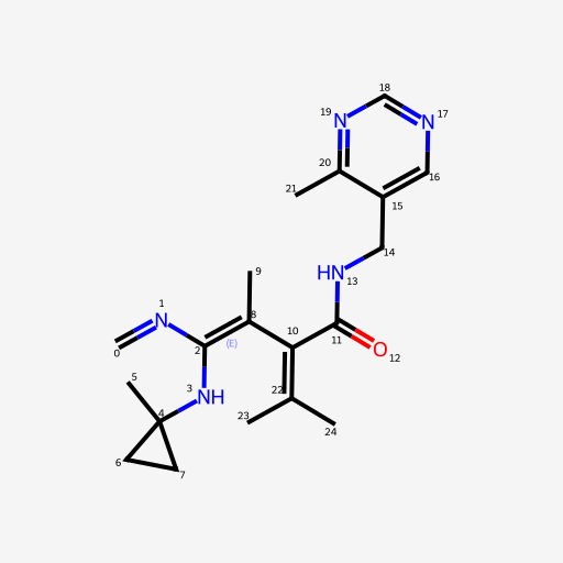 C=N/C(NC1(C)CC1)=C(\C)C(C(=O)NCc1cncnc1C)=C(C)C